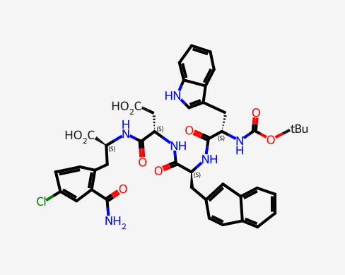 CC(C)(C)OC(=O)N[C@@H](Cc1c[nH]c2ccccc12)C(=O)N[C@@H](Cc1ccc2ccccc2c1)C(=O)N[C@@H](CC(=O)O)C(=O)N[C@@H](Cc1ccc(Cl)cc1C(N)=O)C(=O)O